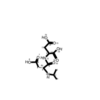 CC(C)N[C@H](CC(=O)O)C(=O)NC(CC(=O)O)C(=O)O